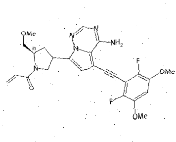 C=CC(=O)N1CC(c2cc(C#Cc3c(F)c(OC)cc(OC)c3F)c3c(N)ncnn23)C[C@@H]1COC